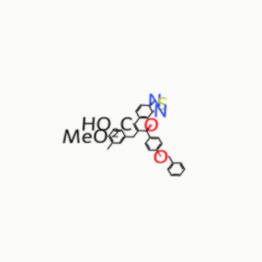 COc1ccc(CC(C(=O)c2ccc(OCc3ccccc3)cc2)=C(C(=O)O)c2ccc3nsnc3c2)cc1C